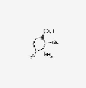 CC(C)(C)C1[C@H](N)[C@@H](N)CCN1C(=O)O